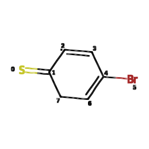 S=C1[C]=CC(Br)=CC1